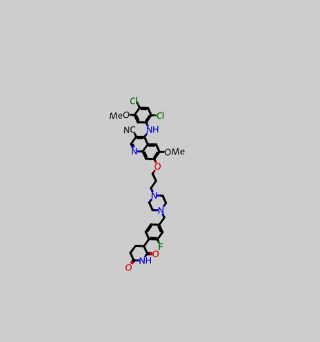 COc1cc(Nc2c(C#N)cnc3cc(OCCCN4CCN(Cc5ccc(C6CCC(=O)NC6=O)c(F)c5)CC4)c(OC)cc23)c(Cl)cc1Cl